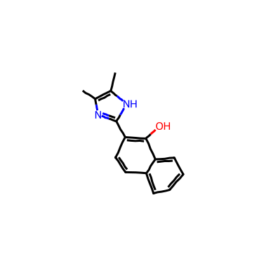 Cc1nc(-c2ccc3ccccc3c2O)[nH]c1C